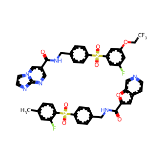 Cc1ccc(S(=O)(=O)c2ccc(CNC(=O)c3cc4ccncc4o3)cc2)c(F)c1.O=C(NCc1ccc(S(=O)(=O)c2cc(F)cc(OCC(F)(F)F)c2)cc1)c1cnc2nccn2c1